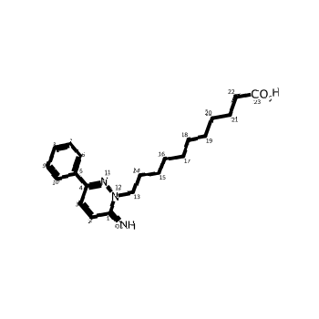 N=c1ccc(-c2ccccc2)nn1CCCCCCCCCCC(=O)O